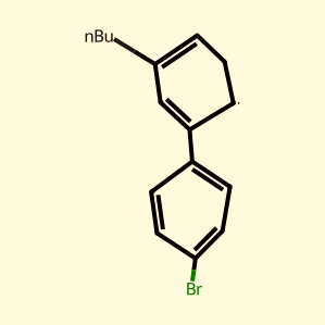 CCCCC1=CC[CH]C(c2ccc(Br)cc2)=C1